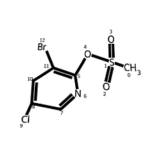 CS(=O)(=O)Oc1ncc(Cl)cc1Br